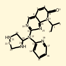 CC(C)n1c(=O)ccc2cnc(N(c3ccccn3)C3CNCCN3)nc21